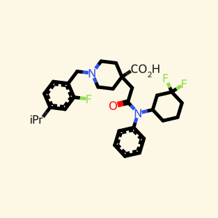 CC(C)c1ccc(CN2CCC(CC(=O)N(c3ccccc3)C3CCCC(F)(F)C3)(C(=O)O)CC2)c(F)c1